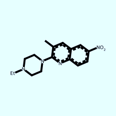 CCN1CCN(c2nc3ccc([N+](=O)[O-])cc3cc2C)CC1